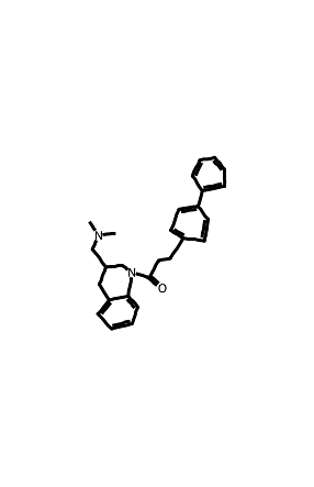 CN(C)CC1Cc2ccccc2N(C(=O)CCc2ccc(-c3ccccc3)cc2)C1